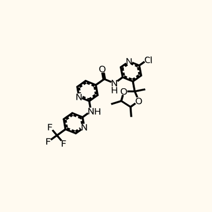 CC1OC(C)(c2cc(Cl)ncc2NC(=O)c2ccnc(Nc3ccc(C(F)(F)F)cn3)c2)OC1C